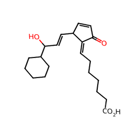 O=C(O)CCCCCC=C1C(=O)C=CC1C=CC(O)C1CCCCC1